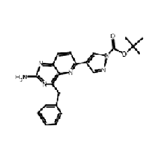 CC(C)(C)OC(=O)n1cc(-c2ccc3nc(N)nc(Cc4ccccc4)c3n2)cn1